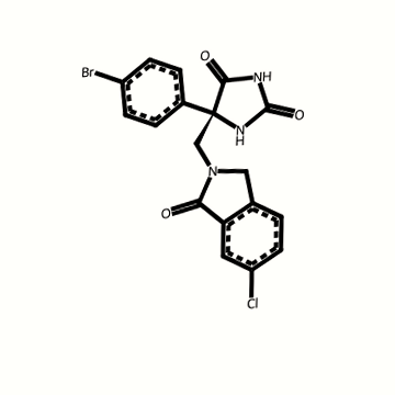 O=C1NC(=O)[C@@](CN2Cc3ccc(Cl)cc3C2=O)(c2ccc(Br)cc2)N1